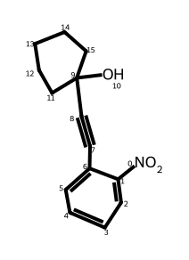 O=[N+]([O-])c1ccccc1C#CC1(O)CCCCC1